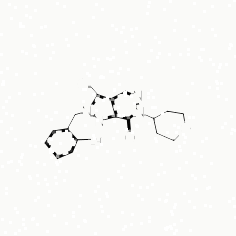 O=c1c2nn(Cc3ccccc3Br)c(Cl)c2cnn1C1CCOCC1